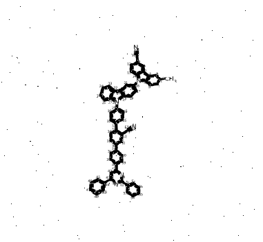 Cc1ccc2c(c1)c1cc(C#N)ccc1n2-c1ccc2c(c1)c1ccccc1n2-c1ccc(-c2ccc(-c3ccc(-c4cc(-c5ccccc5)nc(-c5ccccc5)n4)cc3)cc2C#N)cc1